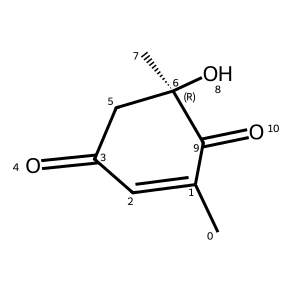 CC1=CC(=O)C[C@@](C)(O)C1=O